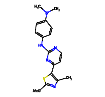 COc1nc(C)c(-c2ccnc(Nc3ccc(N(C)C)cc3)n2)s1